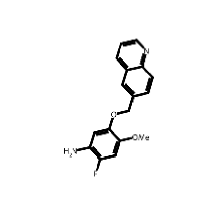 COc1cc(F)c(N)cc1OCc1ccc2ncccc2c1